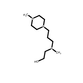 CN(CCO)CCCN1CCN(C)CC1